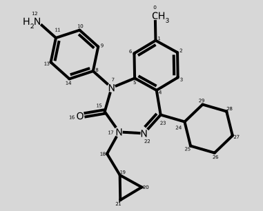 Cc1ccc2c(c1)N(c1ccc(N)cc1)C(=O)N(CC1CC1)N=C2C1CCCCC1